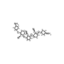 N#Cc1c(Oc2ccc(N)cc2)cccc1Oc1cccc(Oc2cccc(Oc3ccc(N)cc3)c2C#N)c1C#N